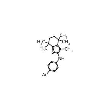 CC(=O)c1ccc(Nc2sc3c(c2C)C(C)(C)CCC3(C)C)cc1